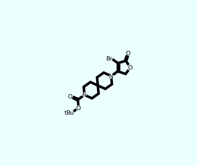 CC(C)(C)OC(=O)N1CCC2(CC1)CCN(C1=C(Br)C(=O)OC1)CC2